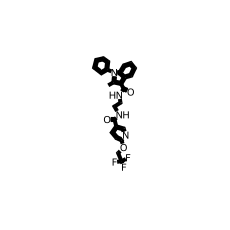 Cc1c(C(=O)NCCNC(=O)c2ccc(OCC(F)(F)F)nc2)c2ccccc2n1-c1ccccc1